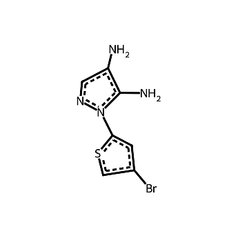 Nc1cnn(-c2cc(Br)cs2)c1N